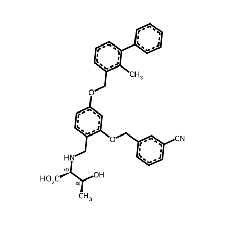 Cc1c(COc2ccc(CN[C@H](C(=O)O)[C@H](C)O)c(OCc3cccc(C#N)c3)c2)cccc1-c1ccccc1